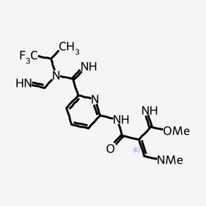 CN/C=C(\C(=N)OC)C(=O)Nc1cccc(C(=N)N(C=N)C(C)C(F)(F)F)n1